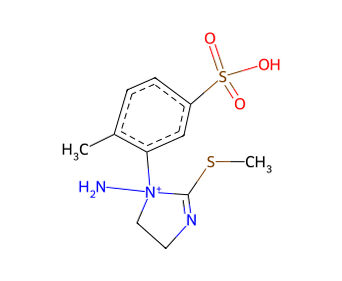 CSC1=NCC[N+]1(N)c1cc(S(=O)(=O)O)ccc1C